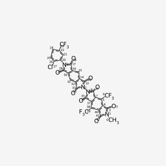 Cn1c(=O)c2c(C(F)(F)F)c3c(=O)n(-n4c(=O)c5cc6c(=O)n(-c7cc(C(F)(F)F)ccc7Cl)c(=O)c6cc5c4=O)c(=O)c3c(C(F)(F)F)c2c1=O